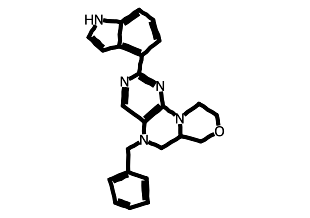 c1ccc(CN2CC3COCCN3c3nc(-c4cccc5[nH]ccc45)ncc32)cc1